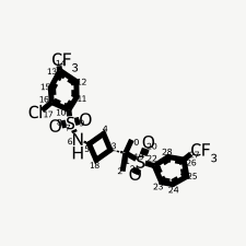 CC(C)([C@H]1C[C@@H](NS(=O)(=O)c2ccc(C(F)(F)F)cc2Cl)C1)S(=O)(=O)c1cccc(C(F)(F)F)c1